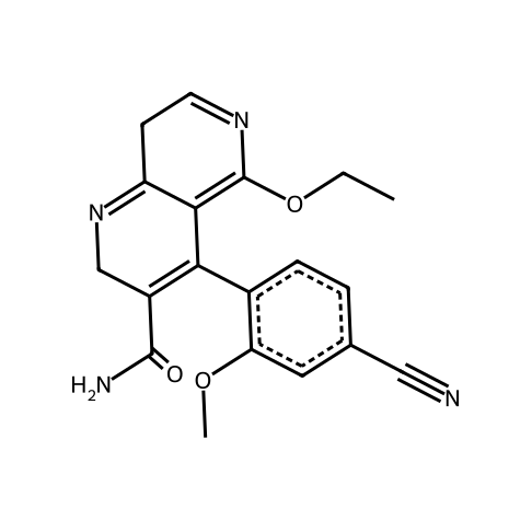 CCOC1=C2C(=NCC(C(N)=O)=C2c2ccc(C#N)cc2OC)CC=N1